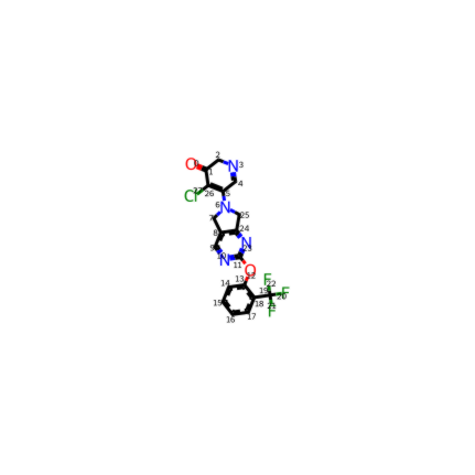 O=C1CN=CC(N2Cc3cnc(Oc4ccccc4C(F)(F)F)nc3C2)=C1Cl